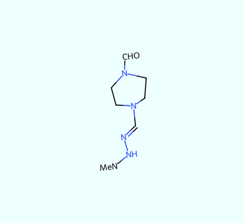 CNNN=CN1CCN(C=O)CC1